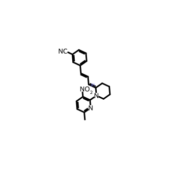 Cc1ccc([N+](=O)[O-])c(N2CCCC/C2=C\C=Cc2cccc(C#N)c2)n1